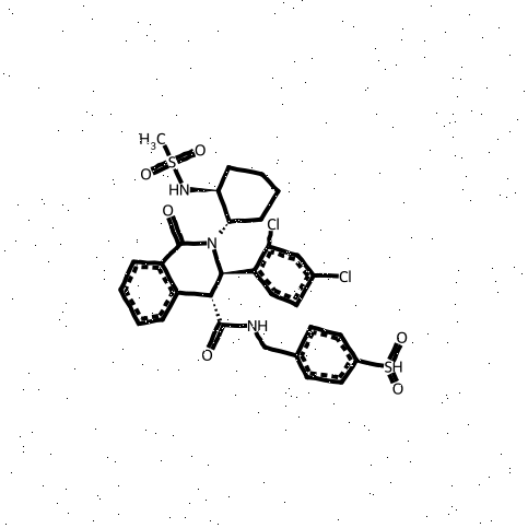 CS(=O)(=O)N[C@H]1CCCC[C@@H]1N1C(=O)c2ccccc2[C@@H](C(=O)NCc2ccc([SH](=O)=O)cc2)[C@@H]1c1ccc(Cl)cc1Cl